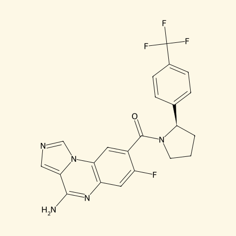 Nc1nc2cc(F)c(C(=O)N3CCC[C@@H]3c3ccc(C(F)(F)F)cc3)cc2n2cncc12